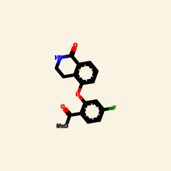 COC(=O)c1ccc(F)cc1Oc1cccc2c1CCNC2=O